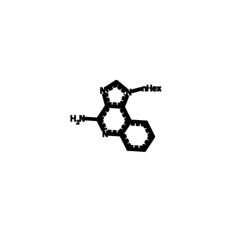 CCCCCCn1cnc2c(N)nc3ccccc3c21